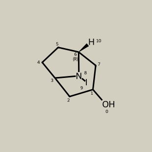 OC1CC2CC[C@H](C1)N2I